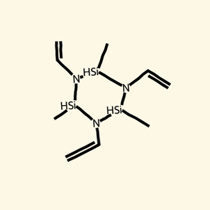 C=CN1[SiH](C)N(C=C)[SiH](C)N(C=C)[SiH]1C